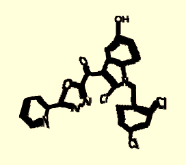 O=C(c1nnc(-c2ccccn2)o1)c1c(Cl)n(Cc2ccc(Cl)cc2Cl)c2ccc(O)cc12